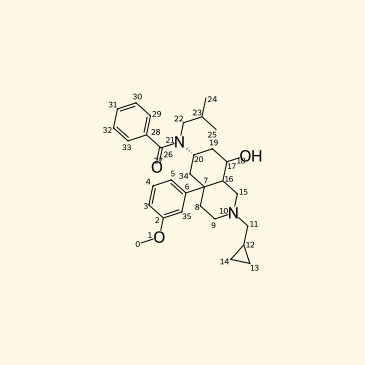 COc1cccc(C23CCN(CC4CC4)CC2C(O)C[C@@H](N(CC(C)C)C(=O)c2ccccc2)C3)c1